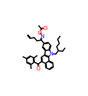 C=CCC/C(=N\OC(C)=O)c1ccc2c(c1)c1cc(C(=O)c3c(C)cc(C)cc3C)c3ccccc3c1n2CC(CC)CCCC